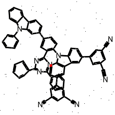 N#Cc1cc(C#N)cc(-c2ccc3c(c2)c2cc(-c4cc(C#N)cc(C#N)c4)ccc2n3-c2ccc(-c3ccc4c5ccccc5n(-c5ccccc5)c4c3)cc2-c2nc(-c3ccccc3)nc(-c3ccccc3)n2)c1